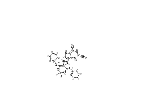 CC1(C)OC(Oc2ccccc2)C(Cn2cnc3c(Cl)nc(N)nc32)(C(C)(C)C)C(C)(Oc2ccccc2)O1